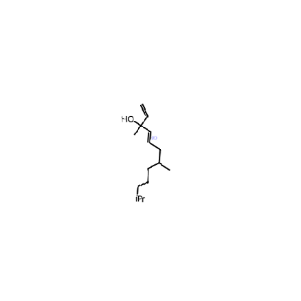 C=CC(C)(O)/C=C/CC(C)CCCC(C)C